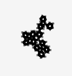 c1ccc(-n2c3ccccc3c3ccc(-c4ccc(N(c5ccc6c(c5)C5(c7ccccc7-c7ccccc75)c5ccccc5-6)c5ccc6c(c5)C5(c7ccccc7-c7ccccc75)c5ccccc5-6)cc4)cc32)cc1